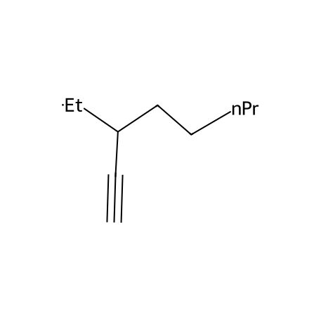 C#CC([CH]C)CCCCC